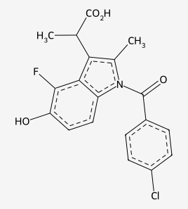 Cc1c(C(C)C(=O)O)c2c(F)c(O)ccc2n1C(=O)c1ccc(Cl)cc1